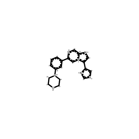 c1cc(-c2cn3c(-c4cscn4)cnc3cn2)cc(N2CCOCC2)c1